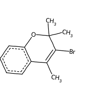 CC1=C(Br)C(C)(C)Oc2ccccc21